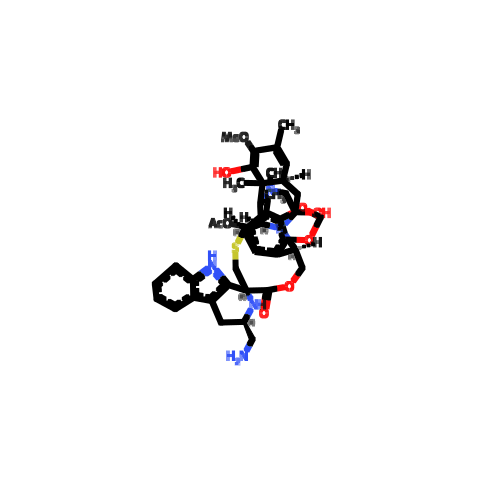 COC1=C(O)C2(C)C3[C@@H]4[C@@H]5SC[C@]6(N[C@@H](CN)Cc7c6[nH]c6ccccc76)C(=O)OC[C@@H](c6c7c(c(C)c(OC(C)=O)c65)OCO7)N4C(O)(C[C@@H]2C=C1C)CN3C